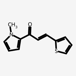 Cn1cccc1C(=O)/C=C/c1cccs1